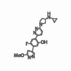 COc1cc(-c2cc(O)c(-c3ccc(N4CC[C@@H](NC5CC5)C4)nn3)cc2F)cnn1